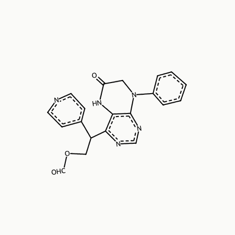 O=COCC(c1ccncc1)c1ncnc2c1NC(=O)CN2c1ccccc1